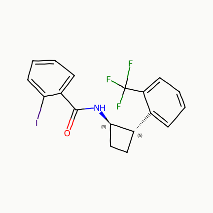 O=C(N[C@@H]1CC[C@H]1c1ccccc1C(F)(F)F)c1ccccc1I